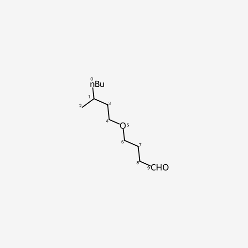 CCCCC(C)CCOCCCC=O